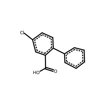 O=C(O)c1cc(Cl)ccc1-c1ccccc1